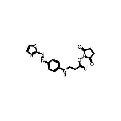 CN(CCC(=O)ON1C(=O)CCC1=O)c1ccc(N=Nc2nccs2)cc1